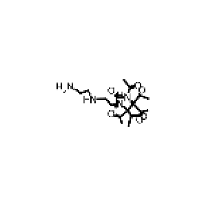 CC(=O)N(C(C)=O)C(C(C)=O)(C(C)=O)C(NCCNCCN)(C(C)=O)C(C)=O